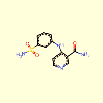 NC(=O)c1cnccc1Nc1cccc(S(N)(=O)=O)c1